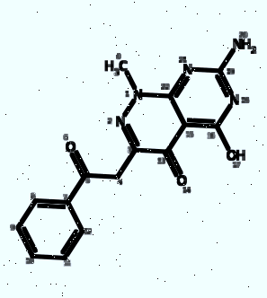 Cn1nc(CC(=O)c2ccccc2)c(=O)c2c(O)nc(N)nc21